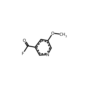 COc1cncc(C(=O)F)c1